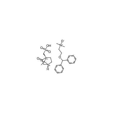 CC1(C)[C@@H]2CC[C@@]1(CS(=O)(=O)O)C(=O)C2.C[N+](C)([O-])CCOC(c1ccccc1)c1ccccc1